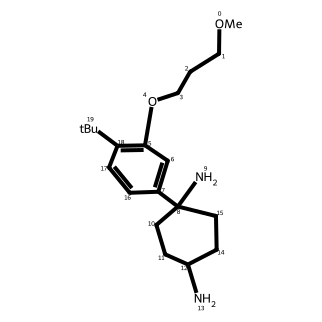 COCCCOc1cc(C2(N)CCC(N)CC2)ccc1C(C)(C)C